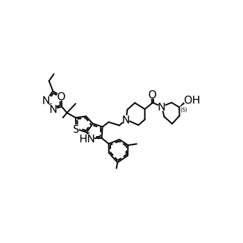 CCc1nnc(C(C)(C)c2cc3c(CCN4CCC(C(=O)N5CCC[C@H](O)C5)CC4)c(-c4cc(C)cc(C)c4)[nH]c3s2)o1